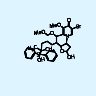 COCOC1c2c(OC)c(=O)c(Br)cn2C2CC(O)OC2C1CCCC(C)(C)[Si](O)(c1ccccc1)c1ccccc1